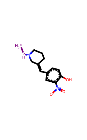 O=[N+]([O-])c1cc(C=C2CCCN(PP)C2)ccc1O